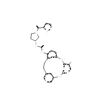 O=C(Nc1ccc2cc1CCc1cncc(c1)Nc1ncc(Cl)c(n1)N2)N[C@H]1CCN(C(=O)c2ccn[nH]2)C1